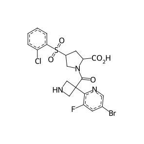 O=C(O)C1CC(S(=O)(=O)c2ccccc2Cl)CN1C(=O)C1(c2ncc(Br)cc2F)CNC1